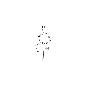 O=C1CCc2cc(O)cnc2N1